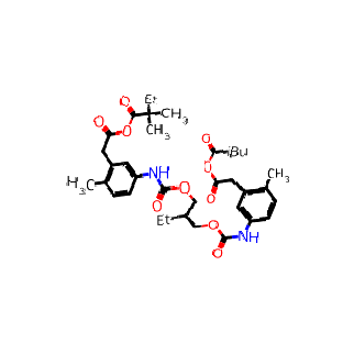 CCC(COC(=O)Nc1ccc(C)c(CC(=O)OC(=O)C(C)CC)c1)COC(=O)Nc1ccc(C)c(CC(=O)OC(=O)C(C)(C)CC)c1